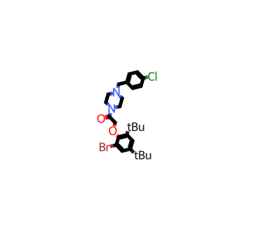 CC(C)(C)c1cc(Br)c(OCC(=O)N2CCN(Cc3ccc(Cl)cc3)CC2)c(C(C)(C)C)c1